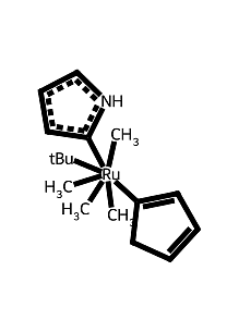 C[C](C)(C)[Ru]([CH3])([CH3])([CH3])([CH3])([C]1=CC=CC1)[c]1ccc[nH]1